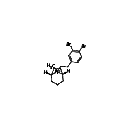 C[N+]1(CCc2ccc(Br)c(Br)c2)[C@@H]2C[CH]C[C@H]1CC2